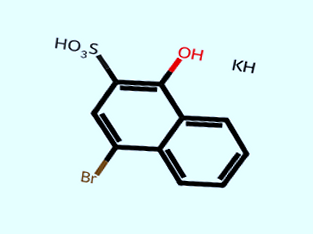 O=S(=O)(O)c1cc(Br)c2ccccc2c1O.[KH]